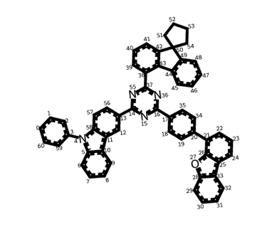 c1ccc(-n2c3ccccc3c3cc(-c4nc(-c5ccc(-c6cccc7c6oc6ccccc67)cc5)nc(-c5cccc6c5-c5ccccc5C65CCCC5)n4)ccc32)cc1